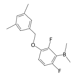 CB(C)c1c(F)ccc(OCc2cc(C)cc(C)c2)c1F